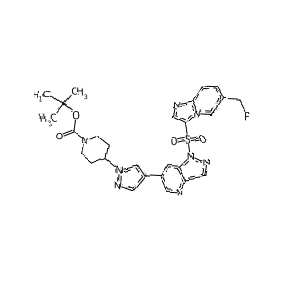 CC(C)(C)OC(=O)N1CCC(n2cc(-c3cnc4cnn(S(=O)(=O)c5cnc6ccc(CF)cn56)c4c3)cn2)CC1